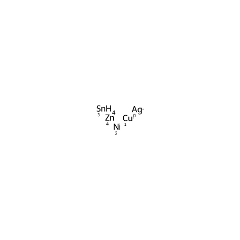 [Ag].[Cu].[Ni].[SnH4].[Zn]